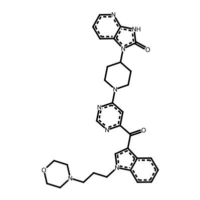 O=C(c1cc(N2CCC(n3c(=O)[nH]c4ncccc43)CC2)ncn1)c1cn(CCCN2CCOCC2)c2ccccc12